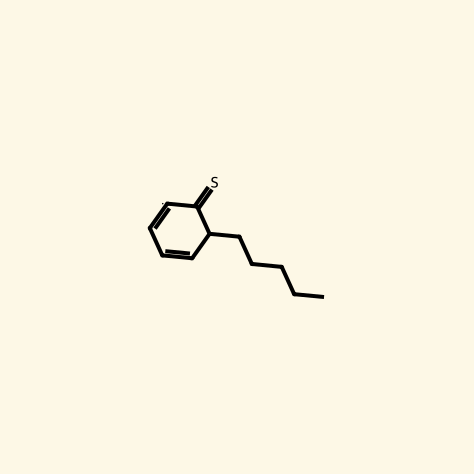 CCCCCC1C=CC=[C]C1=S